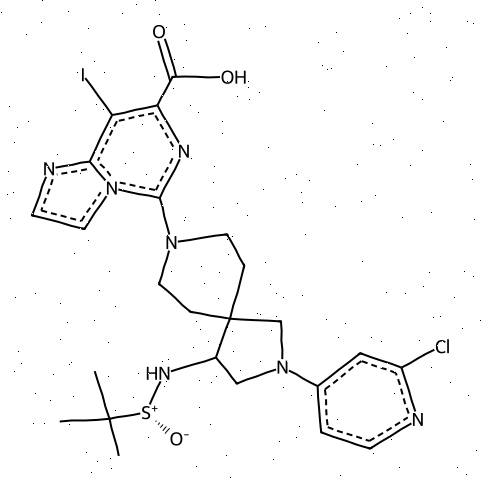 CC(C)(C)[S@@+]([O-])NC1CN(c2ccnc(Cl)c2)CC12CCN(c1nc(C(=O)O)c(I)c3nccn13)CC2